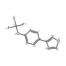 FC(F)(F)Oc1ccc(-c2co[c]n2)cc1